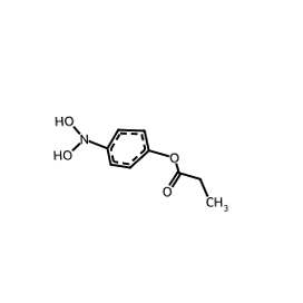 CCC(=O)Oc1ccc(N(O)O)cc1